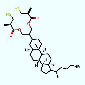 C=C(CS)C(=O)OCC(COC(=O)C(=C)CS)C1CC[C@@]2(C)[C@@H](CC[C@@H]3[C@@H]2CC[C@]2(C)C([C@H](C)CCCC(C)C)CC[C@@H]32)C1